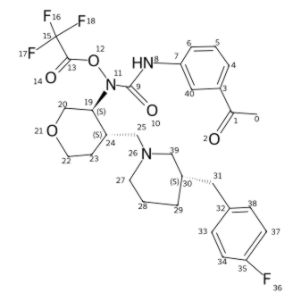 CC(=O)c1cccc(NC(=O)N(OC(=O)C(F)(F)F)[C@@H]2COCC[C@H]2CN2CCC[C@@H](Cc3ccc(F)cc3)C2)c1